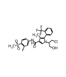 Cc1c(C(=O)Nc2ccc(S(C)(=O)=O)c(F)c2)cn(C(CO)CCl)c1-c1ccccc1C(F)(F)F